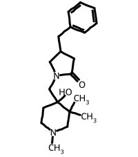 CN1CCC(O)(CN2CC(Cc3ccccc3)CC2=O)C(C)(C)C1